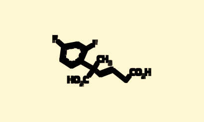 CC(/C=C/CC(=O)O)(C(=O)O)c1ccc(F)cc1F